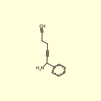 C#CCCC#CC(N)c1ccccc1